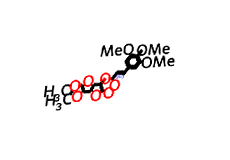 COc1cc(/C=C/C(=O)OC2C(=O)OC3C4OC(C)(C)OC4OC23)cc(OC)c1OC